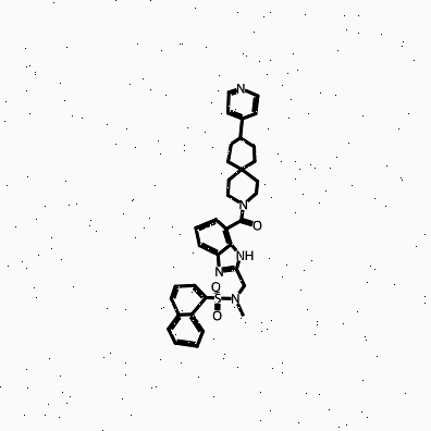 CN(Cc1nc2cccc(C(=O)N3CCC4(CCC(c5ccncc5)CC4)CC3)c2[nH]1)S(=O)(=O)c1cccc2ccccc12